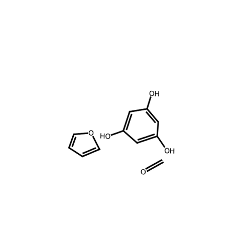 C=O.Oc1cc(O)cc(O)c1.c1ccoc1